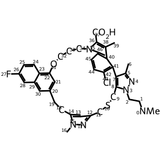 CNCCn1nc(C)c2c1CSCc1cc(n(C)n1)CCc1cc(c3ccc(F)cc3c1)OCCCn1c(C(=O)O)c(C)c3c-2c(Cl)ccc31